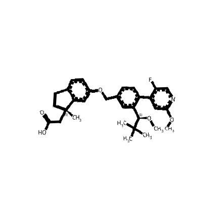 COc1cc(-c2ccc(COc3ccc4c(c3)[C@](C)(CC(=O)O)CC4)cc2[C@@H](OC)C(C)(C)C)c(F)cn1